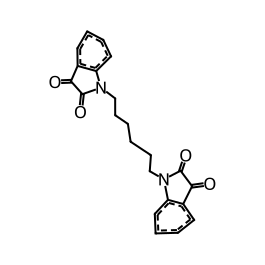 O=C1C(=O)N(CCCCCCN2C(=O)C(=O)c3ccccc32)c2ccccc21